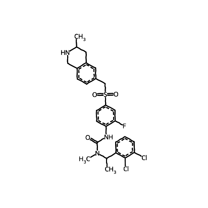 CC1Cc2cc(CS(=O)(=O)c3ccc(NC(=O)N(C)C(C)c4cccc(Cl)c4Cl)c(F)c3)ccc2CN1